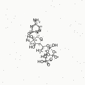 C[C@H](OP(=O)(O)OP(=O)(O)OP(=O)(O)O)[C@H]1O[C@@H](n2ncc(N)nc2=O)[C@@](O)(CF)C1O